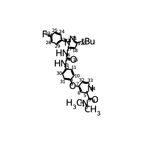 CN(C)C(=O)c1cc(Oc2ccc(NC(=O)Nc3cc(C(C)(C)C)nn3-c3ccc(F)cc3)cc2)ccn1